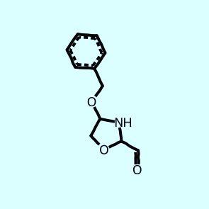 O=CC1NC(OCc2ccccc2)CO1